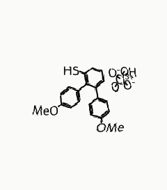 COc1ccc(-c2cccc(S)c2-c2ccc(OC)cc2)cc1.[O-][Cl+3]([O-])([O-])O